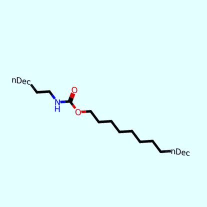 CCCCCCCCCCCCCCCCCCOC(=O)NCCCCCCCCCCCC